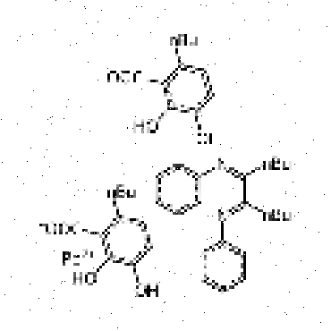 CCCCC(=Nc1ccccc1)C(CCCC)=Nc1ccccc1.CCCCc1ccc(O)c(O)c1C(=O)[O-].CCCCc1ccc(O)c(O)c1C(=O)[O-].[Pd+2]